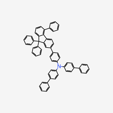 c1ccc(-c2ccc(N(c3ccc(-c4ccccc4)cc3)c3ccc(-c4ccc5c(c4)C(c4ccccc4)(c4ccccc4)c4cccc(-c6ccccc6)c4-5)cc3)cc2)cc1